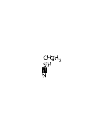 C.N#[SiH].O